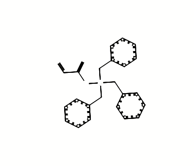 C=CC(=O)O[Si](Cc1ccccc1)(Cc1ccccc1)Cc1ccccc1